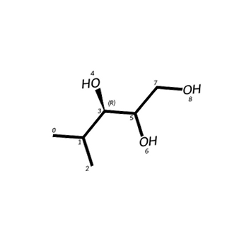 CC(C)[C@@H](O)C(O)CO